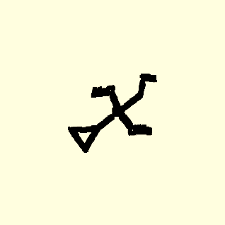 CO[Si](CC(C)(C)C)(OC)C1CC1